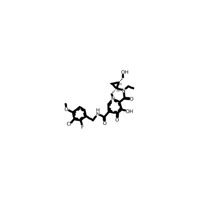 CCN1C(=O)c2c(O)c(=O)c(C(=O)NCc3ccc(OC)c(Cl)c3F)cn2C[C@@]12C[C@@H]2CO